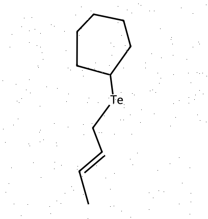 CC=CC[Te]C1CCCCC1